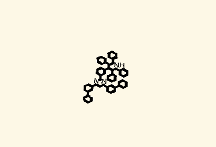 c1ccc(C2=C(c3ccccc3)C(c3cccc(-c4nc(-c5cccc(-c6ccccc6)c5)cc(-c5cccc(-c6ccccc6)c5)n4)c3)=C(c3ccccc3)C(c3ccccc3)N2)cc1